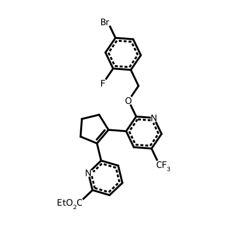 CCOC(=O)c1cccc(C2=C(c3cc(C(F)(F)F)cnc3OCc3ccc(Br)cc3F)CCC2)n1